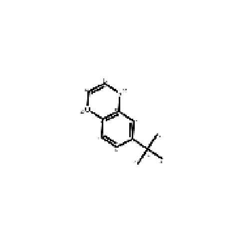 CC(C)(C)c1ccc2c(c1)SC=CO2